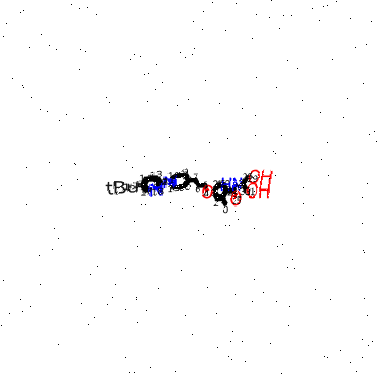 Cc1cc(OCCCC2CCN(c3ccc(C(C)(C)C)cn3)CC2)ccc1C(=O)NC(CO)CO